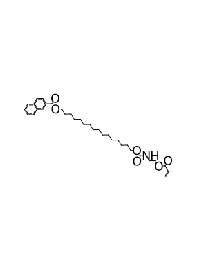 C=C(C)C(=O)OCCNC(=O)OCCCCCCCCCCCCCCCCOC(=O)c1ccc2ccccc2c1